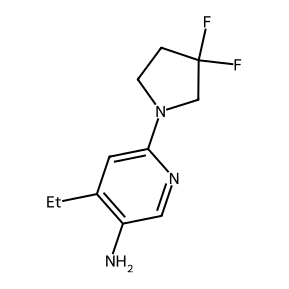 CCc1cc(N2CCC(F)(F)C2)ncc1N